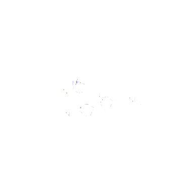 C[n+]1cc(Sc2cc(C#N)ccc2-c2ccc(CCN)cn2)cc(N2CCOCC2)n1